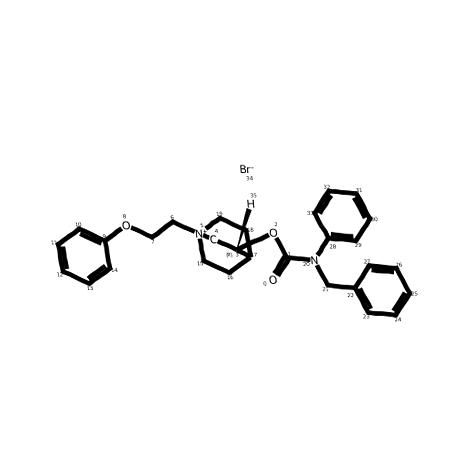 O=C(O[C@H]1C[N+]2(CCOc3ccccc3)CCC1CC2)N(Cc1ccccc1)c1ccccc1.[Br-]